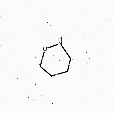 [C]1CCCON1